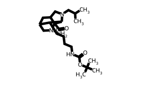 CC(C)CN1CC2CC3CNC2(C(N)=O)C1C3CCCCNC(=O)OC(C)(C)C